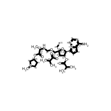 CC(C)C(=O)O[C@H]1[C@H](c2ccc3c(N)ncnn23)O[C@](CF)(COCN[C@@H](C)C(=O)O[C@@H]2CCN(C)C2)[C@H]1OC(=O)C(C)C